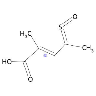 CC(/C=C(\C)C(=O)O)=S=O